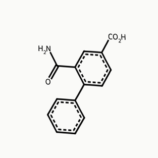 NC(=O)c1cc(C(=O)O)ccc1-c1ccccc1